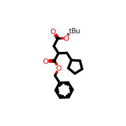 CC(C)(C)OC(=O)CC(CC1CCCC1)C(=O)OCc1ccccc1